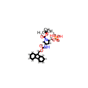 CC(C)(C)OC(=O)N1C[C@@H](NC(=O)OCC2c3ccccc3-c3ccccc32)C[C@H]1COP(=O)(O)O